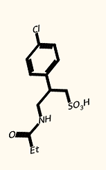 CCC(=O)NCC(CS(=O)(=O)O)c1ccc(Cl)cc1